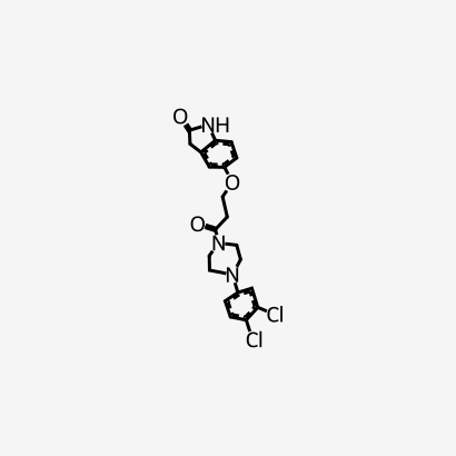 O=C1Cc2cc(OCCC(=O)N3CCN(c4ccc(Cl)c(Cl)c4)CC3)ccc2N1